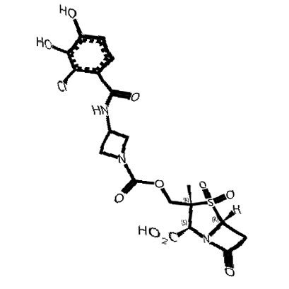 C[C@]1(COC(=O)N2CC(NC(=O)c3ccc(O)c(O)c3Cl)C2)[C@H](C(=O)O)N2C(=O)C[C@H]2S1(=O)=O